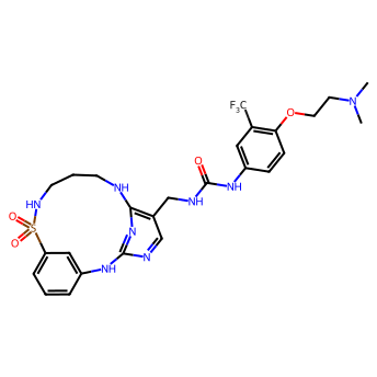 CN(C)CCOc1ccc(NC(=O)NCc2cnc3nc2NCCCNS(=O)(=O)c2cccc(c2)N3)cc1C(F)(F)F